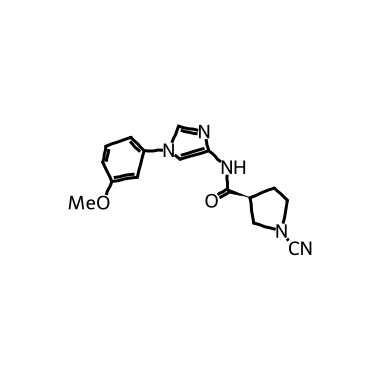 COc1cccc(-n2cnc(NC(=O)[C@H]3CCN(C#N)C3)c2)c1